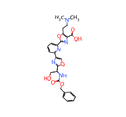 CN(C)CCc1oc(-c2cccc(-c3coc(C(CO)NC(=O)OCc4ccccc4)n3)n2)nc1C(=O)O